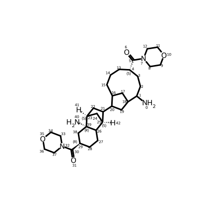 NC1CC[C@@H](C(=O)N2CCOCC2)CCCC2CC1CC2C1C[C@H]2C[C@@H]1C1CC[C@@H](C(=O)N3CCOCC3)C[C@]12N